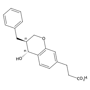 O=C(O)CCc1ccc2c(c1)OC[C@H](Cc1ccccc1)[C@H]2O